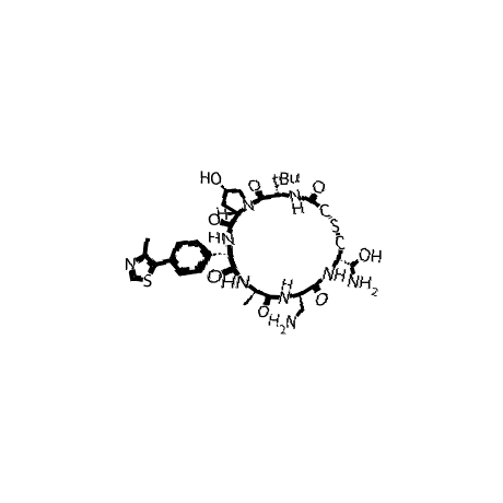 Cc1ncsc1-c1ccc([C@@H]2NC(=O)[C@@H]3C[C@@H](O)CN3C(=O)[C@H](C(C)(C)C)NC(=O)CSC[C@H](C(N)O)NC(=O)[C@@H](CN)NC(=O)[C@@H](C)NC2=O)cc1